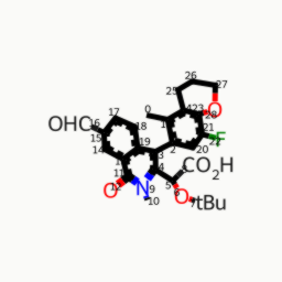 Cc1c(-c2c(C(OC(C)(C)C)C(=O)O)n(C)c(=O)c3cc(C=O)ccc23)cc(F)c2c1CCCO2